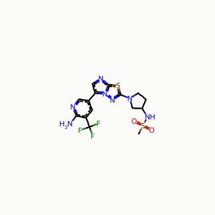 CS(=O)(=O)NC1CCN(c2nn3c(-c4cnc(N)c(C(F)(F)F)c4)cnc3s2)C1